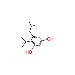 CC(C)Cc1cc(O)cc(O)c1C(C)C